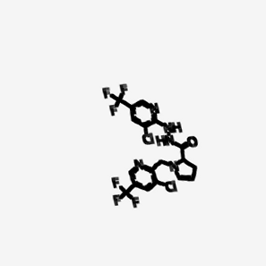 O=C(NNc1ncc(C(F)(F)F)cc1Cl)C1CC=CN1Cc1ncc(C(F)(F)F)cc1Cl